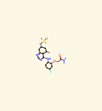 Cc1cc(N=S(C)(C)=O)cc2ncnc(Nc3ccc(F)cc3OCC(=O)N(C)C)c12